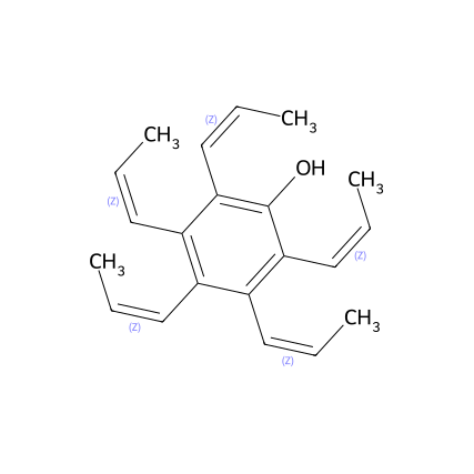 C/C=C\c1c(O)c(/C=C\C)c(/C=C\C)c(/C=C\C)c1/C=C\C